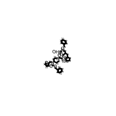 CC(C)(C)C(NC(=O)C(CC1CCCC1)CN(C=O)OCc1ccccc1)C(=O)N1CCC(N(Cc2ccco2)C(=O)OCc2ccccc2)CC1